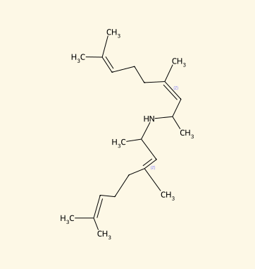 CC(C)=CCC/C(C)=C\C(C)NC(C)/C=C(/C)CCC=C(C)C